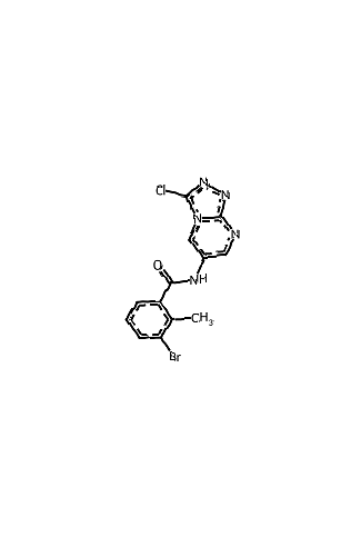 Cc1c(Br)cccc1C(=O)Nc1cnc2nnc(Cl)n2c1